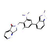 CN(C)c1cc(-c2cccc3nn(C)cc23)cc(F)c1CN1Cc2ncccc2C1=O